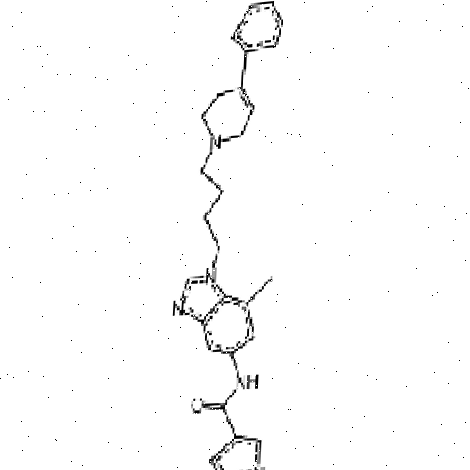 Cc1cc(NC(=O)c2cn[nH]c2)cc2ncn(CCCCN3CC=C(c4ccccc4)CC3)c12